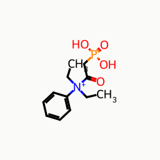 CC[N+](CC)(C(=O)CP(=O)(O)O)c1ccccc1